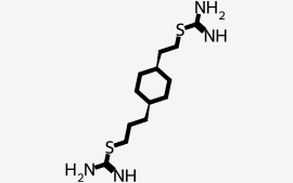 N=C(N)SCCC[C@H]1CC[C@@H](CCSC(=N)N)CC1